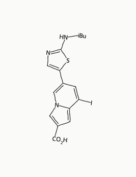 CCC(C)Nc1ncc(-c2cc(I)c3cc(C(=O)O)cn3c2)s1